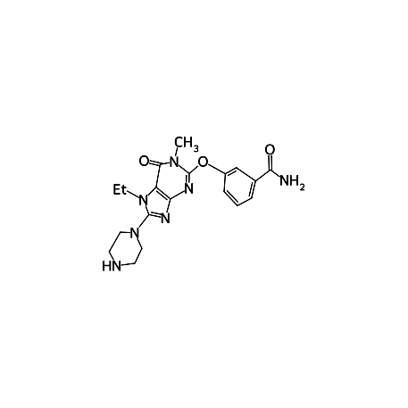 CCn1c(N2CCNCC2)nc2nc(Oc3cccc(C(N)=O)c3)n(C)c(=O)c21